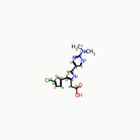 CN(C)c1ncc(-c2nc(CC(=O)O)c(-c3ccc(Cl)s3)s2)cn1